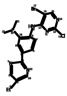 CCc1cnc(-c2ccc(Nc3nc(Cl)ncc3Br)c(P(C)C)c2)nc1